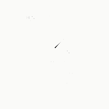 CC(C)(C)OC(=O)N1CCC[C@@]1(C)/C=C/S(N)(=O)=O